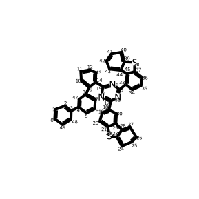 c1ccc(-c2cccc(-c3ccccc3-c3nc(-c4ccc5sc6ccccc6c5c4)nc(-c4cccc5sc6ccccc6c45)n3)c2)cc1